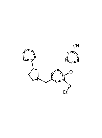 CCOc1cc(CN2CCC(c3ccccc3)C2)ccc1Oc1ccc(C#N)cn1